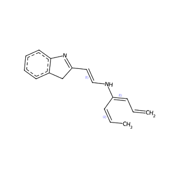 C=C/C=C(\C=C/C)N/C=C/C1=Nc2ccccc2C1